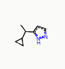 CC(c1c[c]n[nH]1)C1CC1